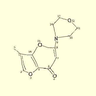 Cc1coc2c(=O)cc(N3CCOCC3)oc12